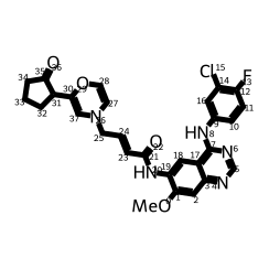 COc1cc2ncnc(Nc3ccc(F)c(Cl)c3)c2cc1NC(=O)C=CCN1C=COC(C2CCCC2=O)=C1